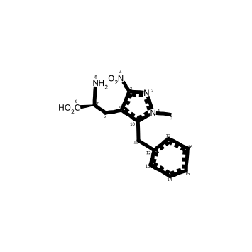 Cn1nc([N+](=O)[O-])c(C[C@H](N)C(=O)O)c1Cc1ccccc1